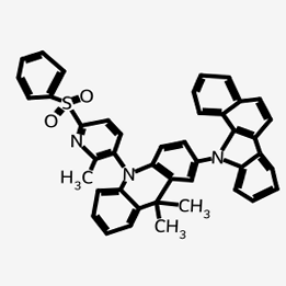 Cc1nc(S(=O)(=O)c2ccccc2)ccc1N1c2ccccc2C(C)(C)c2cc(-n3c4ccccc4c4ccc5ccccc5c43)ccc21